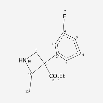 CCOC(=O)C1(c2cccc(F)c2)CNC1C